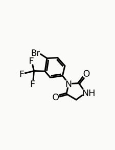 O=C1CNC(=O)N1c1ccc(Br)c(C(F)(F)F)c1